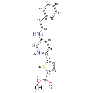 COC(=O)c1ccc(-c2ccc(NC=Cc3ccccc3)cn2)s1